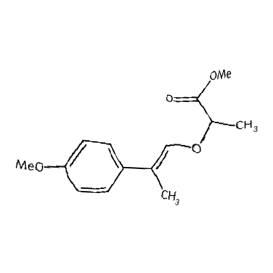 COC(=O)C(C)OC=C(C)c1ccc(OC)cc1